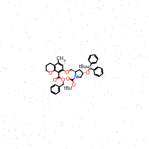 Cc1cc(OC[C@H]2C[C@H](O[Si](c3ccccc3)(c3ccccc3)C(C)(C)C)CN2C(=O)OC(C)(C)C)c(C(=O)OCc2ccccc2)c2c1CCCO2